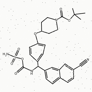 CC(C)(C)OC(=O)N1CCC(Oc2ccc(C(NC(=O)OS(N)(=O)=O)c3ccc4ccc(C#N)cc4c3)cc2)CC1